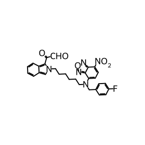 O=CC(=O)c1c2ccccc2cn1CCCCCCN(Cc1ccc(F)cc1)c1ccc([N+](=O)[O-])c2nonc12